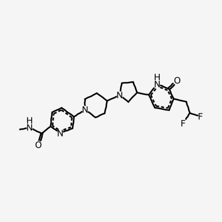 CNC(=O)c1ccc(N2CCC(N3CCC(c4ccc(CC(F)F)c(=O)[nH]4)C3)CC2)cn1